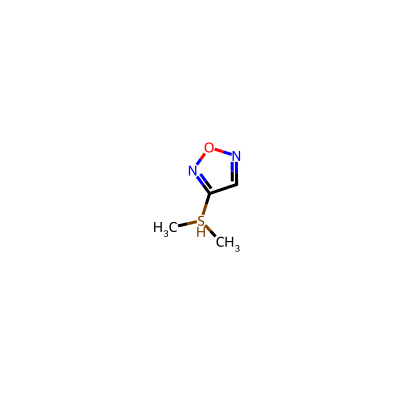 C[SH](C)c1cnon1